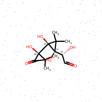 CC1(C)C(=O)[C@]1(O)[C@]1(O)C(C)(C)[C@]1(O)[C@H](O)[C]=O